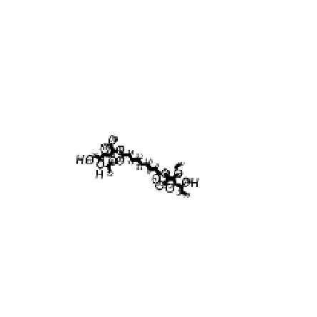 CCOC1=C(OC(=O)CCCCCCCC(=O)OC2=C(OCC)[C@@H]([C@@H](O)CO)OC2=O)C(=O)O[C@@H]1[C@@H](O)CC